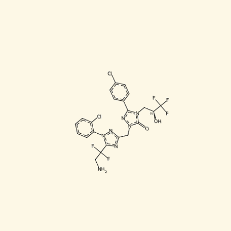 NCC(F)(F)c1nc(Cn2nc(-c3ccc(Cl)cc3)n(C[C@H](O)C(F)(F)F)c2=O)nn1-c1ccccc1Cl